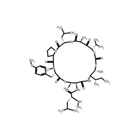 CC[C@H](C)[C@H]1NC(=O)[C@@H](NC(=O)[C@@H](CC(C)C)NC)[C@@H](C)OC(=O)[C@H](Cc2ccc(OC)cc2)N(C)C(=O)C2CCCN2C(=O)[C@H](CC(C)C)NC(=O)[C@@H](C)C(=O)[C@H](C(C)C)OC(=O)C[C@@H]1O